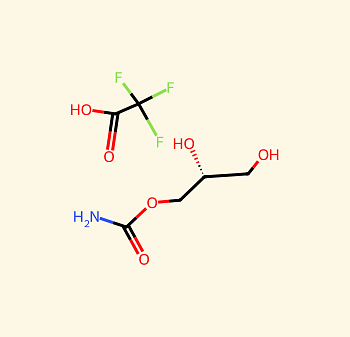 NC(=O)OC[C@H](O)CO.O=C(O)C(F)(F)F